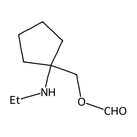 CCNC1(COC=O)CCCC1